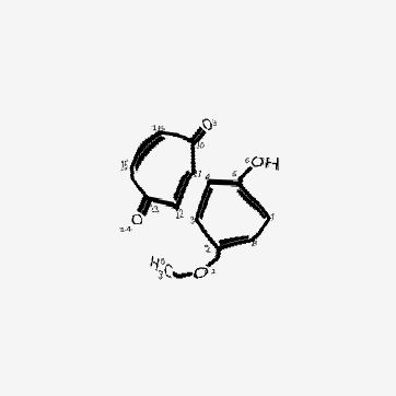 COc1ccc(O)cc1.O=C1C=CC(=O)C=C1